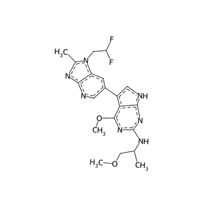 COCC(C)Nc1nc(OC)c2c(-c3cnc4nc(C)n(CC(F)F)c4c3)c[nH]c2n1